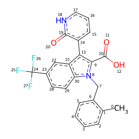 Cc1ccccc1Cn1c(C(=O)O)c(-c2ccc[nH]c2=O)c2cc(C(F)(F)F)ccc21